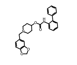 O=C(Nc1ccccc1-c1ccccc1)OC1CCN(Cc2ccc3c(c2)OCO3)CC1